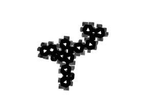 c1cc(-c2ccc(N(c3ccc(-c4ccc5c(c4)oc4ccccc45)cc3)c3ccccc3-c3cccc4oc5c6ccccc6ccc5c34)cc2)cc(-n2c3ccccc3c3ccccc32)c1